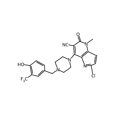 Cn1c(=O)c(C#N)c(N2CCN(Cc3ccc(O)c(C(F)(F)F)c3)CC2)c2nc(Cl)ccc21